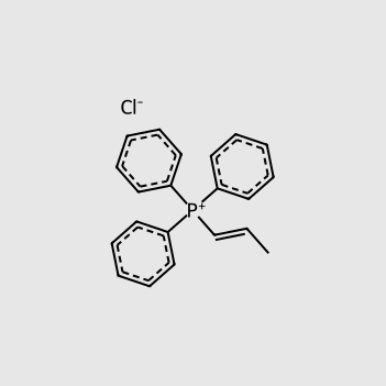 CC=C[P+](c1ccccc1)(c1ccccc1)c1ccccc1.[Cl-]